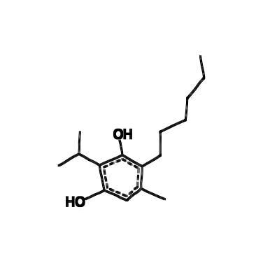 CCCCCCc1c(C)cc(O)c(C(C)C)c1O